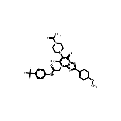 COC1CC=C(c2nc3n(CC(=O)Nc4ccc(C(F)(F)F)cc4)c(C)c(N4CCN(C(C)=O)CC4)c(=O)n3n2)CC1